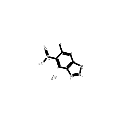 Cc1cc2[nH]nnc2cc1[N+](=O)[O-].[Ag]